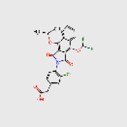 CC(C)Oc1c2c(c(OC(F)F)c3ccccc13)C(=O)N(c1ccc(CC(=O)O)cc1Cl)C2=O